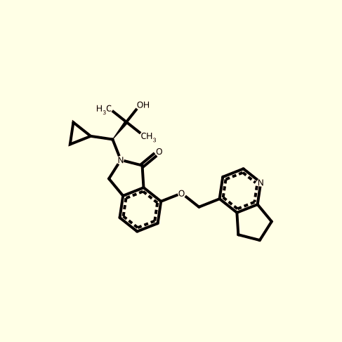 CC(C)(O)[C@H](C1CC1)N1Cc2cccc(OCc3ccnc4c3CCC4)c2C1=O